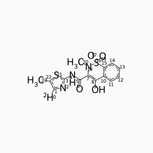 [2H]c1nc(NC(=O)C2=C(O)c3ccccc3S(=O)(=O)N2C)sc1C